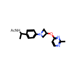 CC(=O)NC(C)c1ccc(N2CC(Oc3ccnc(C)n3)C2)cc1